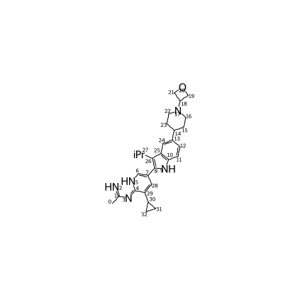 CC(=N)/N=c1\[nH]cc(-c2[nH]c3ccc(C4CCN(C5COC5)CC4)cc3c2C(C)C)cc1C1CC1